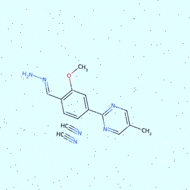 C#N.C#N.COc1cc(-c2ncc(C)cn2)ccc1C=NN